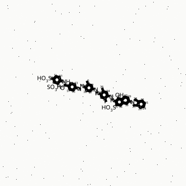 Cc1cc(N=Nc2cc(C)c(N=Nc3c(S(=O)(=O)O)cc4cc(N5Cc6ccccc6C5)ccc4c3O)cc2C)ccc1N=Nc1ccc(C(=O)Nc2ccc(S(=O)(=O)O)cc2S(=O)(=O)O)cc1